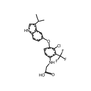 CC(C)c1c[nH]c2ccc(Oc3ccc(NCC(=O)O)c(C(F)(F)F)c3Cl)cc12